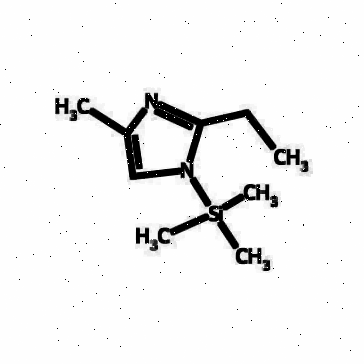 CCc1nc(C)cn1[Si](C)(C)C